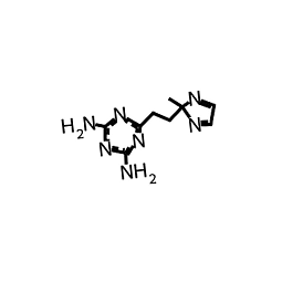 CC1(CCc2nc(N)nc(N)n2)N=CC=N1